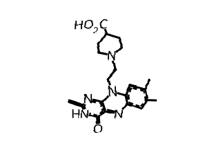 C=c1nc2c(c(=O)[nH]1)=Nc1cc(C)c(C)cc1N2CCN1CCC(C(=O)O)CC1